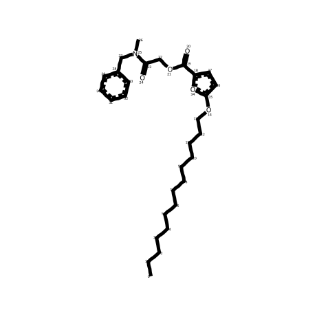 CCCCCCCCCCCCCCOc1ccc(C(=O)OCC(=O)N(C)Cc2ccccc2)o1